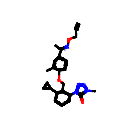 C#CCO/N=C(\C)c1ccc(OCc2c(C3CC3)cccc2-n2nnn(C)c2=O)c(C)c1